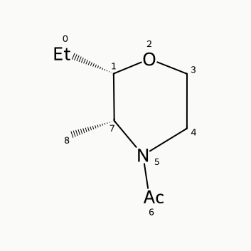 CC[C@@H]1OCCN(C(C)=O)[C@@H]1C